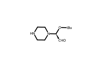 CC(C)(C)O[C@@H](C=O)N1CCNCC1